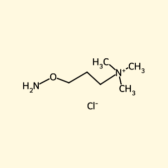 C[N+](C)(C)CCCON.[Cl-]